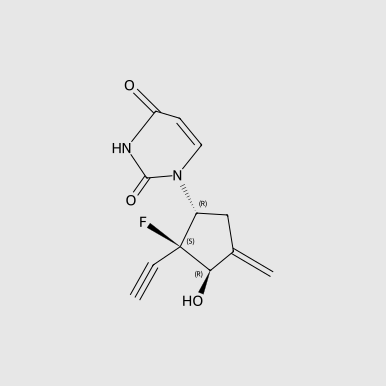 C#C[C@@]1(F)[C@H](O)C(=C)C[C@H]1n1ccc(=O)[nH]c1=O